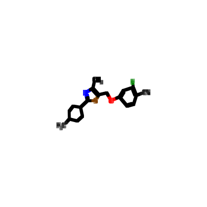 Cc1nc(C2CCC(C(F)(F)F)CC2)sc1COc1ccc(C#N)c(F)c1